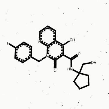 O=C(NC1(CO)CCCC1)c1c(O)c2cccnc2n(Cc2ccc(F)cc2)c1=O